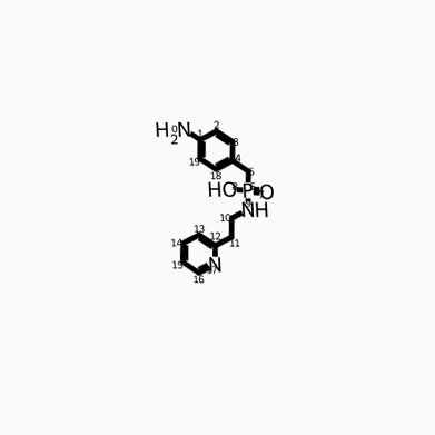 Nc1ccc(CP(=O)(O)NCCc2ccccn2)cc1